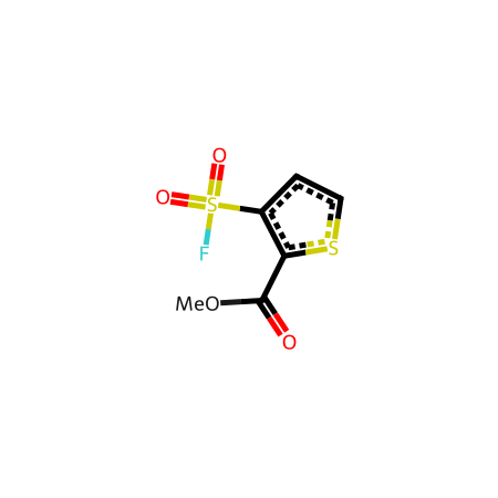 COC(=O)c1sccc1S(=O)(=O)F